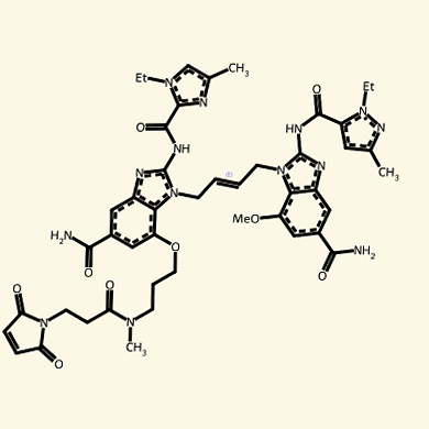 CCn1cc(C)nc1C(=O)Nc1nc2cc(C(N)=O)cc(OCCCN(C)C(=O)CCN3C(=O)C=CC3=O)c2n1C/C=C/Cn1c(NC(=O)c2cc(C)nn2CC)nc2cc(C(N)=O)cc(OC)c21